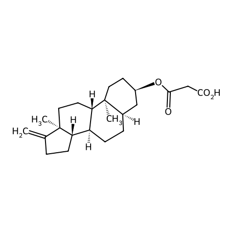 C=C1CC[C@H]2[C@@H]3CC[C@@H]4C[C@H](OC(=O)CC(=O)O)CC[C@]4(C)[C@H]3CC[C@]12C